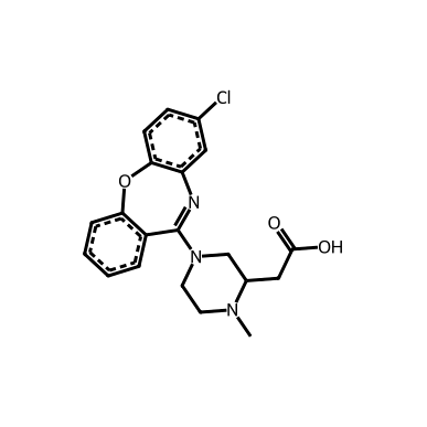 CN1CCN(C2=Nc3cc(Cl)ccc3Oc3ccccc32)CC1CC(=O)O